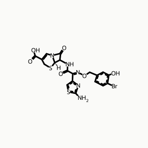 Nc1nc(C(=NOCc2ccc(Br)c(O)c2)C(=O)NC2C(=O)N3C=C(C(=O)O)CS[C@H]23)cs1